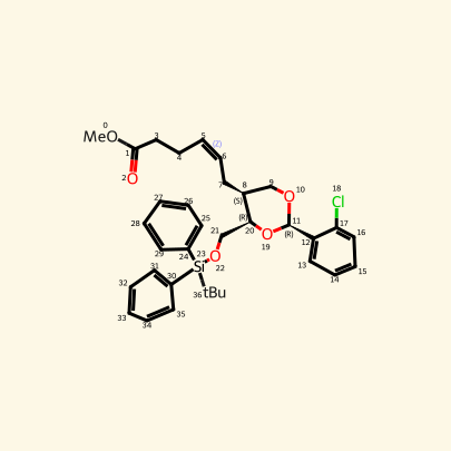 COC(=O)CC/C=C\C[C@H]1CO[C@@H](c2ccccc2Cl)O[C@H]1CO[Si](c1ccccc1)(c1ccccc1)C(C)(C)C